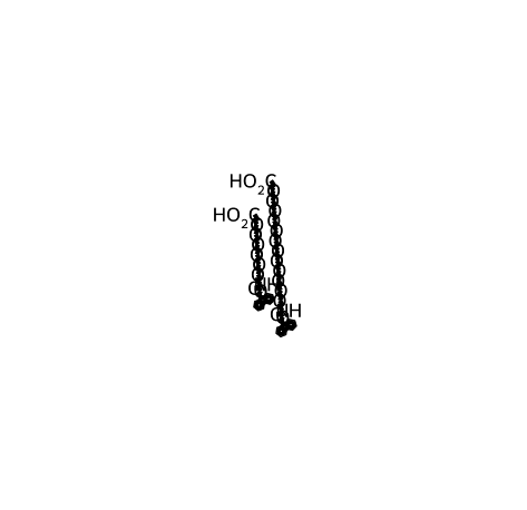 O=C(O)CCOCCOCCOCCOCCOCCOCCNC(=O)OCC1c2ccccc2-c2ccccc21.O=C(O)CCOCCOCCOCCOCCOCCOCCOCCOCCOCCOCCOCCOCCNC(=O)OCC1c2ccccc2-c2ccccc21